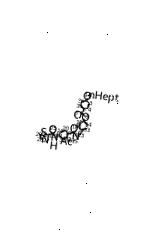 CCCCCCCOc1ccc(C(=O)Oc2ccc(CN(CC(C)=O)C(=O)c3ccc(NC(=O)c4nccs4)cc3)cc2)cc1